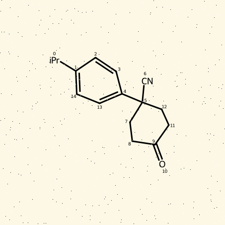 CC(C)c1ccc(C2(C#N)CCC(=O)CC2)cc1